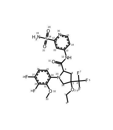 CCOC1(C(F)(F)F)CC(C(=O)Nc2ccnc(S(N)(=O)=O)c2)N(c2ccc(F)c(F)c2OC)C1